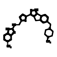 Cc1ccc2[nH]c(NCc3ccc(-c4n[nH]c5c4Cc4cc(CN6CCN(C)CC6)ccc4-5)s3)nc2c1